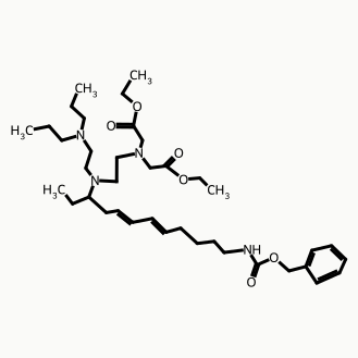 CCCN(CCC)CCN(CCN(CC(=O)OCC)CC(=O)OCC)C(CC)CC=CC=CCCCCNC(=O)OCc1ccccc1